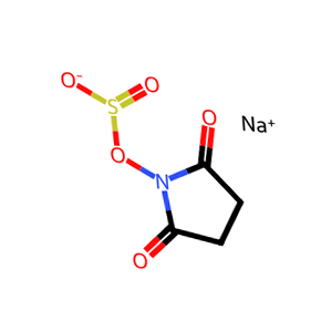 O=C1CCC(=O)N1OS(=O)[O-].[Na+]